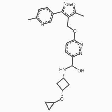 Cc1ccc(-c2noc(C)c2COc2ccc(C(O)N[C@H]3C[C@@H](OC4CC4)C3)nn2)cn1